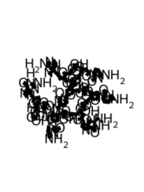 Nc1ccn(C2CC(OP(=O)(O)OCC3OC(n4cnc5c(N)ncnc54)CC3O)C(COP(=O)(O)OC3CC(n4ccc(N)nc4=O)OC3COP(=O)(O)OC3CC(n4ccc(N)nc4=O)OC3COP(=O)(O)OC3CC(n4cnc5c(=O)[nH]c(N)nc54)OC3COP(=O)(O)OC3CC(n4ccc(N)nc4=O)OC3COP(=O)(O)OC3CC(n4cnc5c(=O)[nH]c(N)nc54)OC3COP(=O)(O)O)O2)c(=O)n1